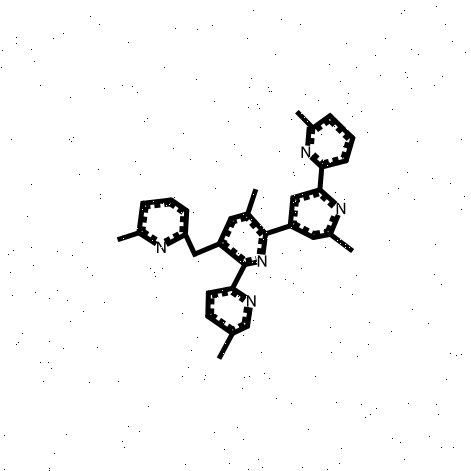 Cc1ccc(-c2nc(-c3cc(C)nc(-c4cccc(C)n4)c3)c(C)cc2Cc2cccc(C)n2)nc1